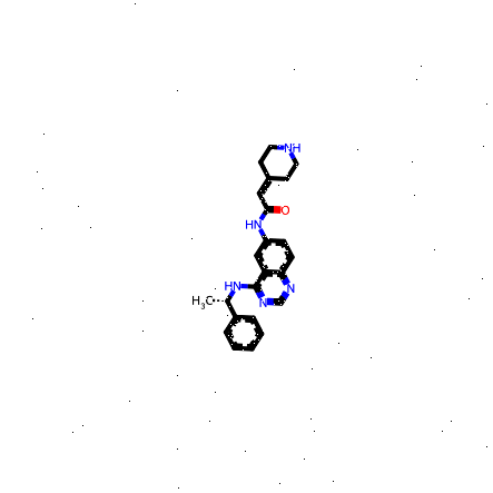 C[C@H](Nc1ncnc2ccc(NC(=O)C=C3CCNCC3)cc12)c1ccccc1